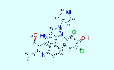 O=Cc1c(C2CC2)nc2ccc(-c3cc(Cl)c(O)c(Cl)c3)cc2c1Nc1cnn(C2CCNCC2)c1